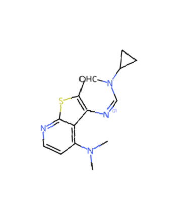 Cc1sc2nccc(N(C)C)c2c1/N=C\N(C=O)C1CC1